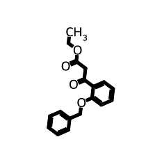 CCOC(=O)CC(=O)c1ccccc1OCc1ccccc1